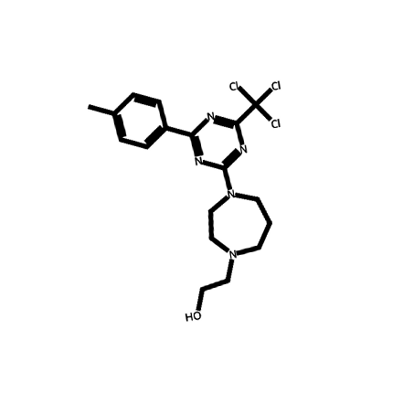 Cc1ccc(-c2nc(N3CCCN(CCO)CC3)nc(C(Cl)(Cl)Cl)n2)cc1